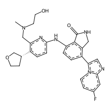 CN(CCO)Cc1nc(Nc2ccc(-c3cnc4cc(F)ccn34)c3c2C(=O)NC3)ccc1[C@@H]1CCOC1